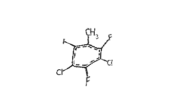 Cc1c(F)c(Cl)c(F)c(Cl)c1I